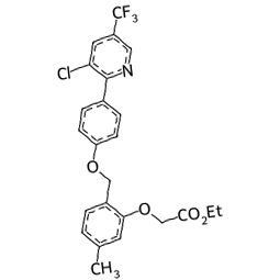 CCOC(=O)COc1cc(C)ccc1COc1ccc(-c2ncc(C(F)(F)F)cc2Cl)cc1